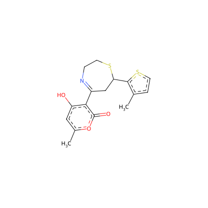 Cc1cc(O)c(C2=NCCSC(c3sccc3C)C2)c(=O)o1